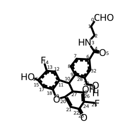 O=CCCNC(=O)c1ccc(C2c3cc(F)c(O)cc3OC3=CC(=O)C(F)=CC32)c(C(O)O)c1